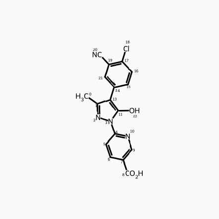 Cc1nn(-c2ccc(C(=O)O)cn2)c(O)c1-c1ccc(Cl)c(C#N)c1